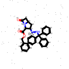 CCN(NC(c1ccccc1)(c1ccccc1)c1ccccc1)C1CC2CC(=O)N2C1C(=O)OCc1ccccc1